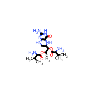 CC(C)C(N)C(=O)OC(C)C(OC(=O)C(N)C(C)C)C1CNc2nc(N)[nH]c(=O)c2N1